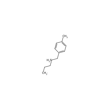 [CH2]CC[SiH2]Cc1ccc(C)cc1